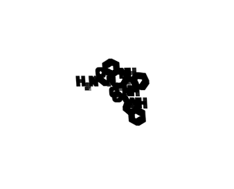 NC(=O)CN1C(=O)[C@H](NC(=O)c2cc3ccccc3[nH]2)[C@H](c2ccccc2)Nc2ccccc21